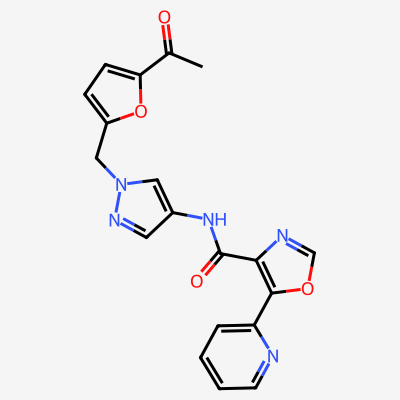 CC(=O)c1ccc(Cn2cc(NC(=O)c3ncoc3-c3ccccn3)cn2)o1